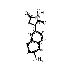 Nc1ccc2nc(C3CC(=O)[N+](O)C3=O)ccc2c1